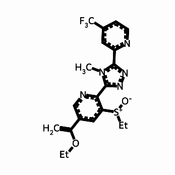 C=C(OCC)c1cnc(-c2nnc(-c3cc(C(F)(F)F)ccn3)n2C)c([S+]([O-])CC)c1